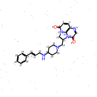 O=c1ccc2ncc(=O)n3c2n1CC3CN1CCC(NC/C=C/c2ccccc2)CC1